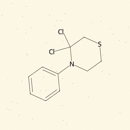 ClC1(Cl)CSCCN1c1ccccc1